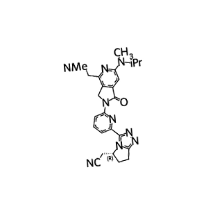 CNCc1nc(N(C)C(C)C)cc2c1CN(c1cccc(-c3nnc4n3[C@@H](CC#N)CC4)n1)C2=O